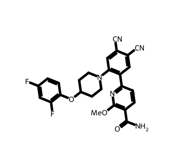 COc1nc(-c2cc(C#N)c(C#N)cc2N2CCC(Oc3ccc(F)cc3F)CC2)ccc1C(N)=O